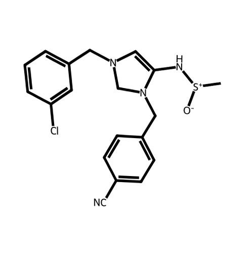 C[S+]([O-])NC1=CN(Cc2cccc(Cl)c2)CN1Cc1ccc(C#N)cc1